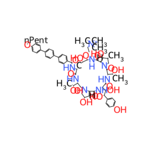 CCCCCOc1ccc(-c2ccc(-c3ccc(C(=O)N[C@H]4C[C@@H](O)[C@@H](OCC[N+](C)(C)C)NC(=O)[C@@H]5[C@@H](O)[C@@H](C)CN5C(=O)[C@H]([C@@H](C)O)NC(=O)[C@H]([C@H](O)[C@@H](O)c5ccc(O)cc5)NC(=O)[C@@H]5CC(O)CN5C(=O)[C@H]([C@@H](C)O)NC4=O)cc3)cc2)cc1